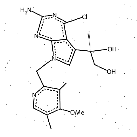 COc1c(C)cnc(Cn2cc([C@@](C)(O)CO)c3c(Cl)nc(N)nc32)c1C